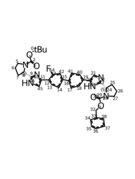 CC(C)(C)OC(=O)N1CCC[C@H]1c1nc(-c2ccc(-c3ccc(-c4cnc([C@@H]5CCCN5C(=O)OCc5ccccc5)[nH]4)cc3)cc2F)c[nH]1